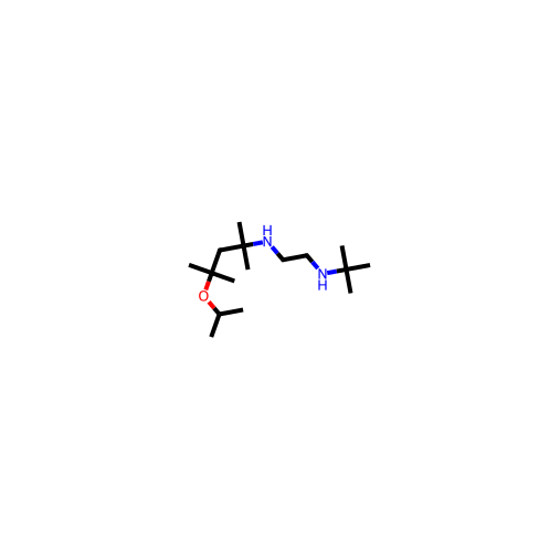 CC(C)OC(C)(C)CC(C)(C)NCCNC(C)(C)C